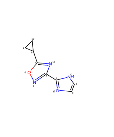 c1c[nH]c(-c2noc(C3CC3)n2)n1